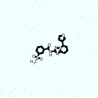 CS(=O)(=O)c1cccc(C(=O)Nc2nc3cccc(-c4ccoc4)n3n2)c1